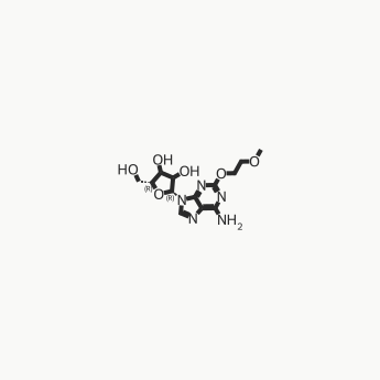 COCCOc1nc(N)c2ncn([C@@H]3O[C@H](CO)C(O)C3O)c2n1